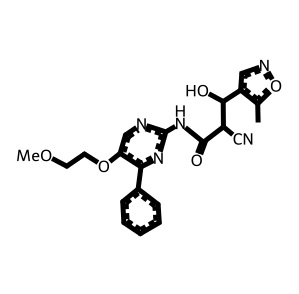 COCCOc1cnc(NC(=O)C(C#N)C(O)c2cnoc2C)nc1-c1ccccc1